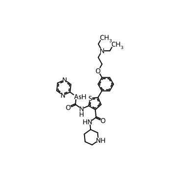 CCN(CC)CCOc1cccc(-c2cc(C(=O)NC3CCCNC3)c(NC(=O)[AsH]c3cnccn3)s2)c1